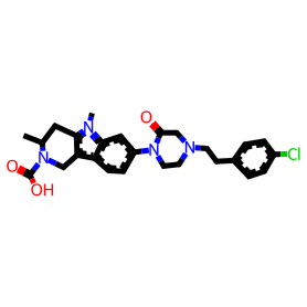 CC1Cc2c(c3ccc(N4CCN(CCc5ccc(Cl)cc5)CC4=O)cc3n2C)CN1C(=O)O